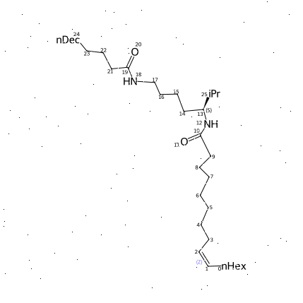 CCCCCC/C=C\CCCCCCCC(=O)N[C@@H](CCCCNC(=O)CCCCCCCCCCCCC)C(C)C